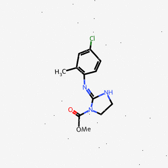 COC(=O)N1CCN/C1=N\c1ccc(Cl)cc1C